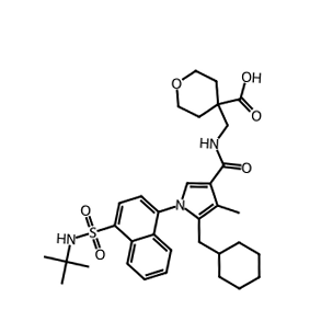 Cc1c(C(=O)NCC2(C(=O)O)CCOCC2)cn(-c2ccc(S(=O)(=O)NC(C)(C)C)c3ccccc23)c1CC1CCCCC1